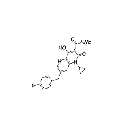 CNC(=O)c1c(O)c2ncc(Cc3ccc(F)cc3)cc2n(C2CC2)c1=O